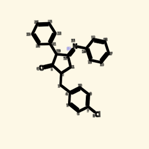 O=C1C(Cc2ccc(Cl)cc2)C/C(=N\c2ccccc2)C1c1ccccc1